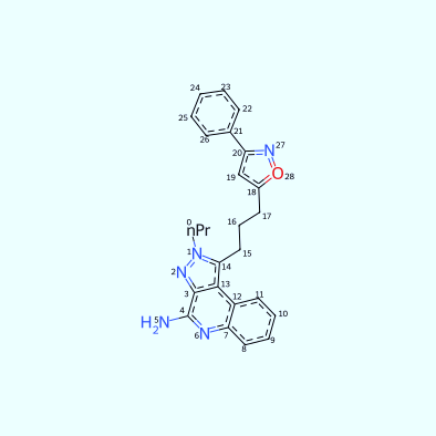 CCCn1nc2c(N)nc3ccccc3c2c1CCCc1cc(-c2ccccc2)no1